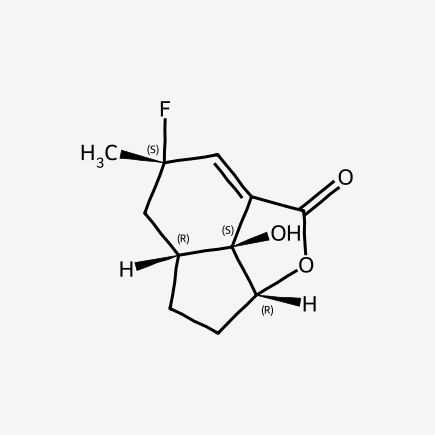 C[C@@]1(F)C=C2C(=O)O[C@@H]3CC[C@H](C1)[C@]23O